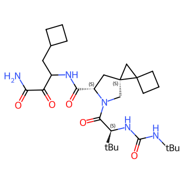 CC(C)(C)NC(=O)N[C@H](C(=O)N1C[C@]2(C[C@H]1C(=O)NC(CC1CCC1)C(=O)C(N)=O)CC21CCC1)C(C)(C)C